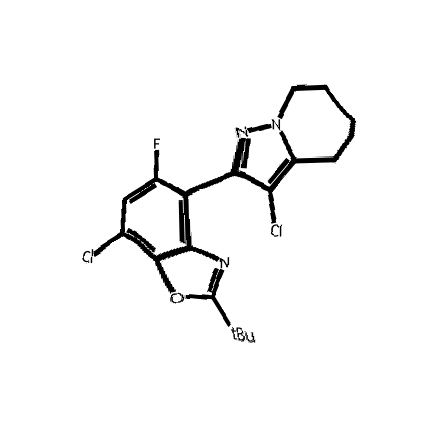 CC(C)(C)c1nc2c(-c3nn4c(c3Cl)CCCC4)c(F)cc(Cl)c2o1